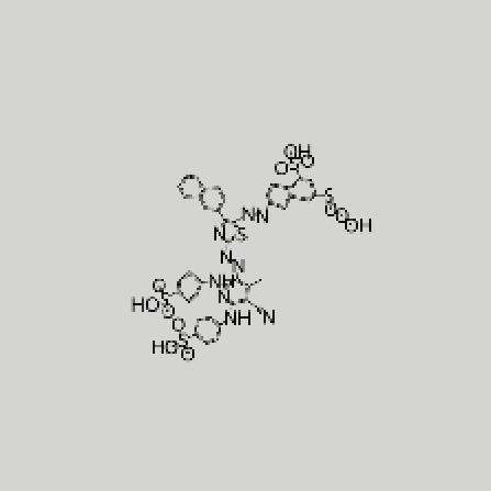 Cc1c(C#N)c(Nc2ccc(S(=O)(=O)O)cc2)nc(Nc2ccc(S(=O)(=O)O)cc2)c1/N=N/c1nc(-c2ccc3ccccc3c2)c(/N=N/c2ccc3c(S(=O)(=O)O)cc(SOOO)cc3c2)s1